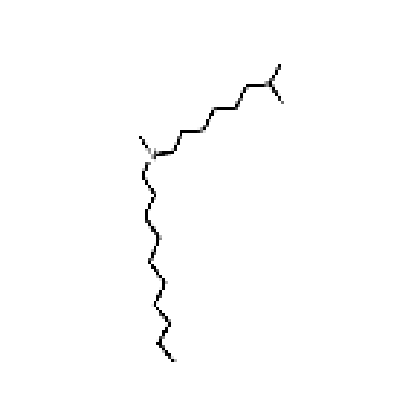 CCCCCCCCCCN(C)CCCCCCC(C)C